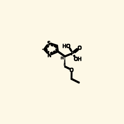 CCOC[C@H](c1cs[c]n1)P(=O)(O)O